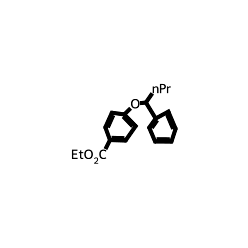 CCCC(Oc1ccc(C(=O)OCC)cc1)c1ccccc1